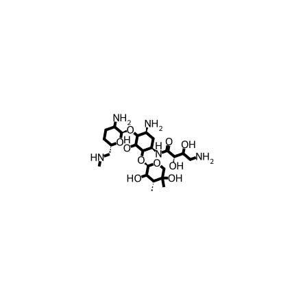 CNC[C@@H]1CCC(N)[C@@H](OC2C(O)C(O[C@H]3OCC(C)(O)[C@H](C)C3O)[C@H](NC(=O)[C@@H](O)C(O)CN)C[C@@H]2N)O1